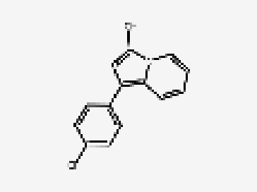 Cc1cc(-c2ccc(Cl)cc2)c2ccccn12